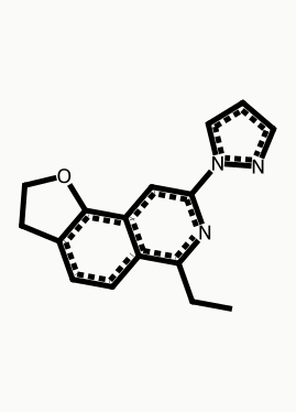 CCc1nc(-n2cccn2)cc2c3c(ccc12)CCO3